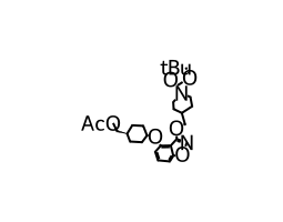 CC(=O)OC[C@H]1CC[C@@H](Oc2cccc3onc(OCC4CCN(C(=O)OC(C)(C)C)CC4)c23)CC1